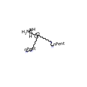 CCCCC/C=C\C/C=C\CCCCCCCCC1(CCCCCCCC/C=C\C/C=C\CCCCC)OCC(CCNC(=N)N)O1